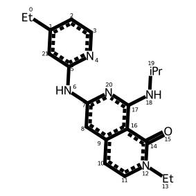 CCc1ccnc(Nc2cc3ccn(CC)c(=O)c3c(NC(C)C)n2)c1